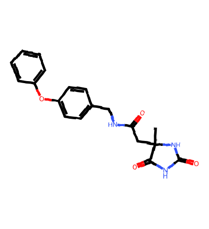 CC1(CC(=O)NCc2ccc(Oc3ccccc3)cc2)NC(=O)NC1=O